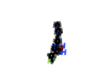 CC(F)(F)c1cccc(-c2c[nH]c(=O)c3c(Nc4ccc(CCN5CCC(N6CCCC6)CC5)cc4)nccc23)c1